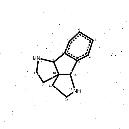 c1ccc2c(c1)C1NCCC13CCNC23